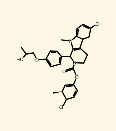 CC(O)COc1ccc(C2C3=C(CCN2C(=O)OC2=C[C@H](C)C(Cl)C=C2)C2CC(Cl)=CC=C2N3C)cc1